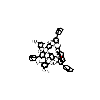 Cc1cc(C)c(N2c3cc4c(cc3B3c5cc6c(cc5N(c5c(C)cc(C)cc5C)c5cc(C78CC9CC(CC(C9)C7)C8)cc2c53)Oc2cc(C35CC7CC(CC(C7)C3)C5)cc3c2B6c2sc5ccccc5c2O3)B2c3sc5ccccc5c3Oc3cc(C56CC7CC(CC(C7)C5)C6)cc(c32)O4)c(C)c1